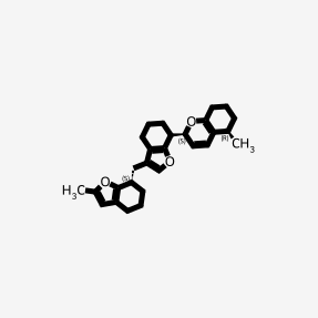 Cc1cc2c(o1)[C@H](Cc1coc3c1CCCC3[C@@H]1C=CC3=C(CCC[C@H]3C)O1)CCC2